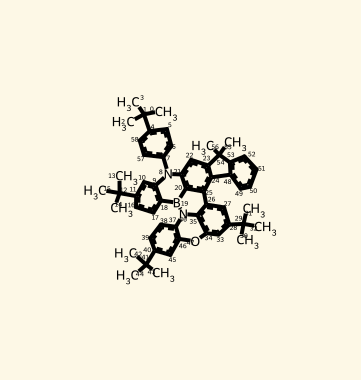 CC(C)(C)c1ccc(N2c3cc(C(C)(C)C)ccc3B3c4c2cc2c(c4-c4cc(C(C)(C)C)cc5c4N3c3ccc(C(C)(C)C)cc3O5)-c3ccccc3C2(C)C)cc1